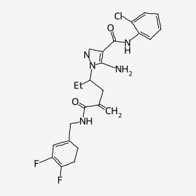 C=C(CC(CC)n1ncc(C(=O)Nc2ccccc2Cl)c1N)C(=O)NCC1=CC(F)=C(F)CC1